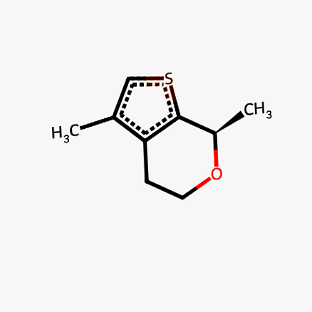 Cc1csc2c1CCO[C@@H]2C